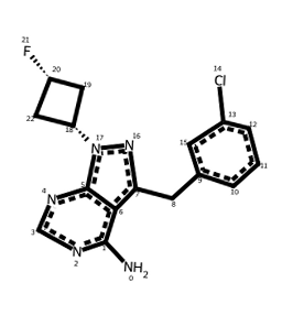 Nc1ncnc2c1c(Cc1cccc(Cl)c1)nn2[C@H]1C[C@@H](F)C1